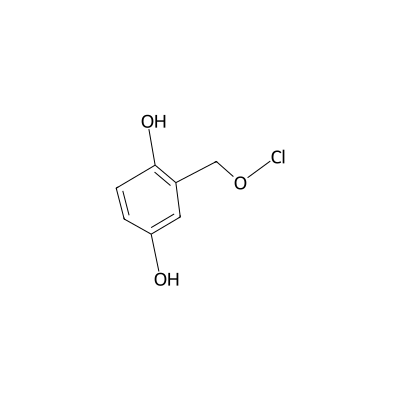 Oc1ccc(O)c(COCl)c1